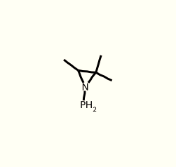 CC1N(P)C1(C)C